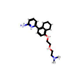 CCN(CC)CCOCCOc1ccc(-c2cccc(N)n2)c2c1CCCC2